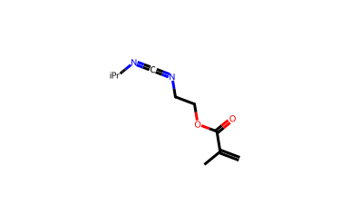 C=C(C)C(=O)OCCN=C=NC(C)C